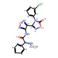 O=C(O)NC(C(=O)Nc1nonc1-c1noc(=O)n1-c1cccc(Cl)c1)c1ccccc1